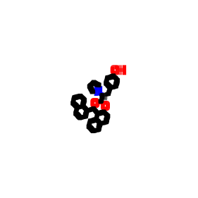 O=C(OC(c1cccc2ccccc12)c1cccc2ccccc12)[C@H](Cc1ccc(O)cc1)n1cccc1